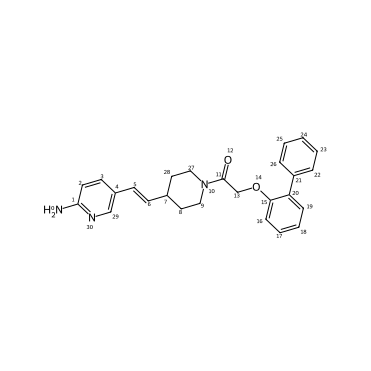 Nc1ccc(/C=C/C2CCN(C(=O)COc3ccccc3-c3ccccc3)CC2)cn1